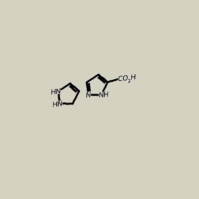 C1=CNNC1.O=C(O)c1ccn[nH]1